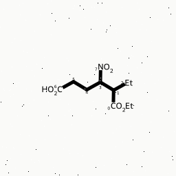 CCOC(=O)C(CC)C(CCC(=O)O)[N+](=O)[O-]